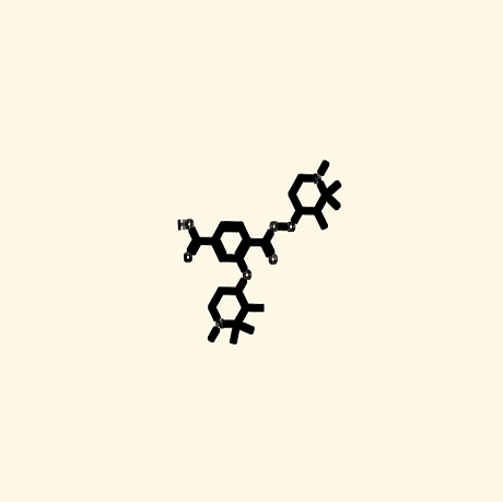 CC1C(OOC(=O)c2ccc(C(=O)O)cc2OC2CCN(C)C(C)(C)C2C)CCN(C)C1(C)C